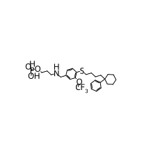 O=[PH](O)OCCCNCc1ccc(SCCCCC2(c3ccccc3)CCCCC2)c(OC(F)(F)F)c1